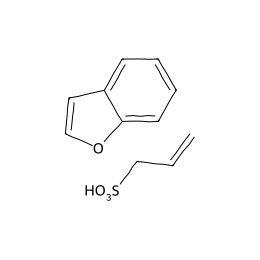 C=CCS(=O)(=O)O.c1ccc2occc2c1